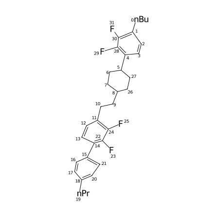 CCCCc1ccc(C2CCC(CCc3ccc(-c4ccc(CCC)cc4)c(F)c3F)CC2)c(F)c1F